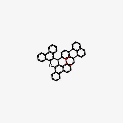 c1ccc(-c2cccc3cccc(-c4ccc(C5c6c(c7ccccc7c7ccccc67)Oc6c5c5ccccc5c5ccccc65)cc4)c23)cc1